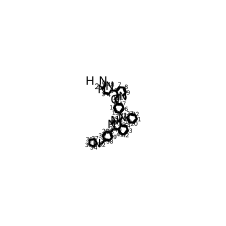 Nc1nccc(-c2cccnc2Oc2ccc(N(c3ccccc3)c3nnc(-c4ccc(CN5CCCC5)cc4)c4ccccc34)cc2)n1